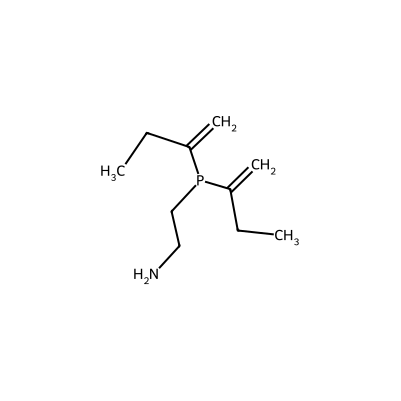 C=C(CC)P(CCN)C(=C)CC